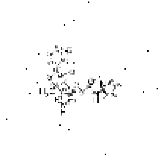 C[C@]12CCC3c4cccc(F)c4CCC3C1[C@H](CCC(=O)Nc1ccccn1)c1c[nH]nc12